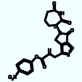 O=C1CCC[C@H](N2Cc3c(csc3CNC(=O)Oc3ccc([N+](=O)[O-])cc3)C2=O)C(=O)N1